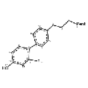 CCCC(C)CCCc1ccc(-c2ccc(O)cc2F)cc1